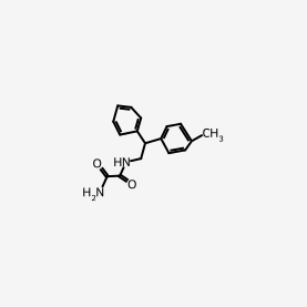 Cc1ccc(C(CNC(=O)C(N)=O)c2ccccc2)cc1